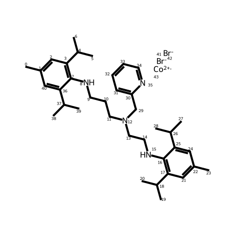 Cc1cc(C(C)C)c(NCCCN(CCNc2c(C(C)C)cc(C)cc2C(C)C)Cc2ccccn2)c(C(C)C)c1.[Br-].[Br-].[Co+2]